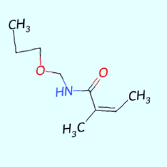 CC=C(C)C(=O)NCOCCC